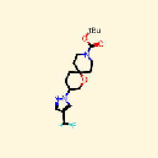 CC(C)(C)OC(=O)N1CCC2(CCC(n3cc(C(F)F)cn3)CO2)CC1